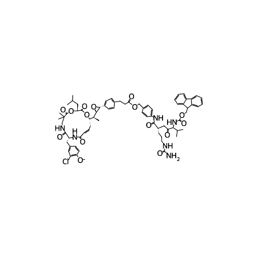 COc1ccc(C[C@H]2NC(=O)/C=C/C[C@@H]([C@H](C)[C@H]3O[C@@H]3c3ccc(CCC(=O)OCc4ccc(NC(=O)[C@@H](CCCNC(N)=O)CC(=O)[C@@H](NC(=O)OCC5c6ccccc6-c6ccccc65)C(C)C)cc4)cc3)OC(=O)[C@H](CC(C)C)OC(=O)C(C)(C)CNC2=O)cc1Cl